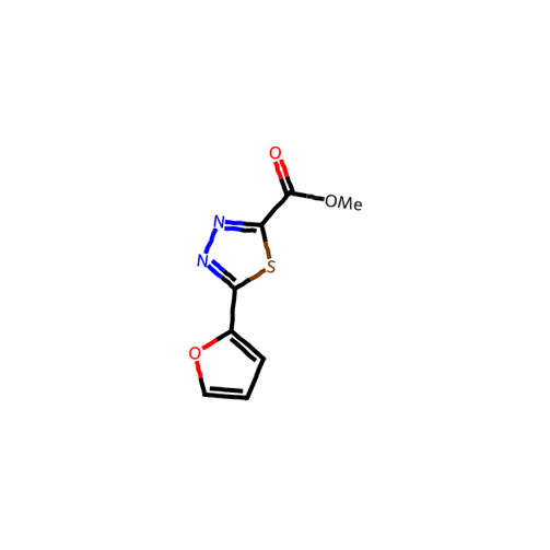 COC(=O)c1nnc(-c2ccco2)s1